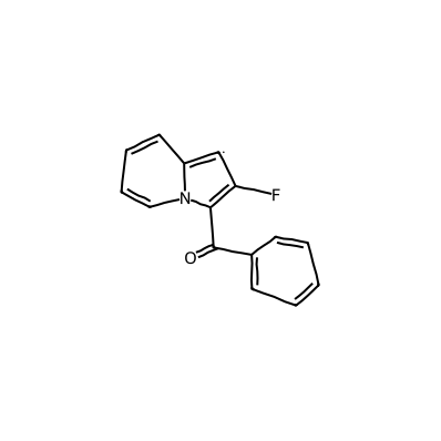 O=C(c1ccccc1)c1c(F)[c]c2ccccn12